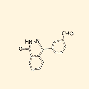 O=Cc1cccc(-c2n[nH]c(=O)c3ccccc23)c1